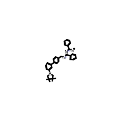 C=N/C(=N\C(=N/Cc1ccc(-c2cccc(B3CC(C)(C)C(C)(C)C3)c2)cc1)c1ccccc1)c1ccccc1